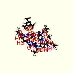 CC(C)c1cc(C(C)C)c(S(=O)(=O)OC[C@@H]2O[C@H](OC3C(O)[C@H](NC(=O)OC(C)(C)C)CC(NC(=O)OC(C)(C)C)[C@@H]3O[C@@H]3OC(CNC(=O)OC(C)(C)C)[C@H](O)C(O)C3NC(=O)OC(C)(C)C)C(O)C2OC2O[C@@H](CNC(=O)OC(C)(C)C)C(O)C(O)[C@H]2NC(=O)OC(C)(C)C)c(C(C)C)c1